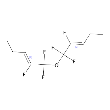 CC/C=C(\F)C(F)(F)OC(F)(F)/C(F)=C/CC